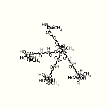 COC[C@@H]1C[C@@H](O)CN1C(=O)COCCOCCOCC(=O)N[C@@H]1O[C@H](COCCC(=O)NCCCNC(=O)CCCCO[C@@H]2O[C@H](CO)[C@H](O)[C@H](O)[C@H]2NC(C)=O)[C@@H](OCCC(=O)NCCCNC(=O)CCCCO[C@@H]2O[C@H](CO)[C@H](O)[C@H](O)[C@H]2NC(C)=O)[C@H](OCCC(=O)NCCCNC(=O)CCCCO[C@@H]2O[C@H](CO)[C@H](O)[C@H](O)[C@H]2NC(C)=O)[C@H]1NC(C)=O